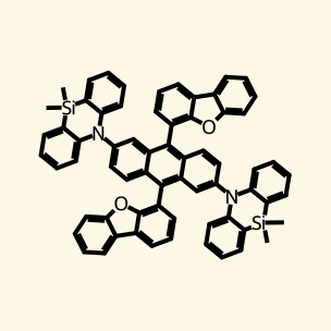 C[Si]1(C)c2ccccc2N(c2ccc3c(-c4cccc5c4oc4ccccc45)c4cc(N5c6ccccc6[Si](C)(C)c6ccccc65)ccc4c(-c4cccc5c4oc4ccccc45)c3c2)c2ccccc21